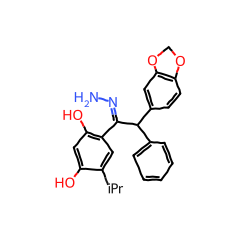 CC(C)c1cc(C(=NN)C(c2ccccc2)c2ccc3c(c2)OCO3)c(O)cc1O